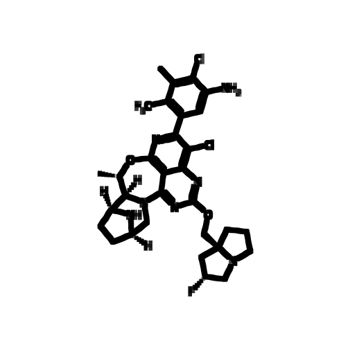 Cc1c(Cl)c(N)cc(-c2nc3c4c(nc(OC[C@@]56CCCN5C[C@H](F)C6)nc4c2Cl)N2C[C@H]4CC[C@H](N4)[C@H]2[C@H](C)O3)c1C(F)(F)F